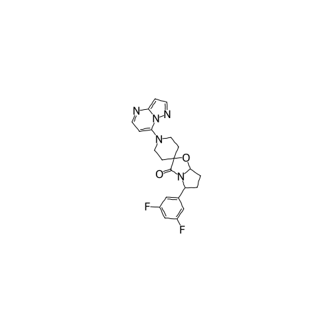 O=C1N2C(CCC2c2cc(F)cc(F)c2)OC12CCN(c1ccnc3ccnn13)CC2